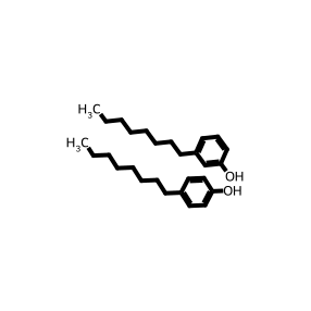 CCCCCCCCc1ccc(O)cc1.CCCCCCCCc1cccc(O)c1